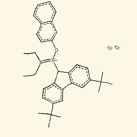 CC[Si](CC)=[Ti+2]([O]c1ccc2ccccc2c1)[CH]1c2ccc(C(C)(C)C)cc2-c2cc(C(C)(C)C)ccc21.[Cl-].[Cl-]